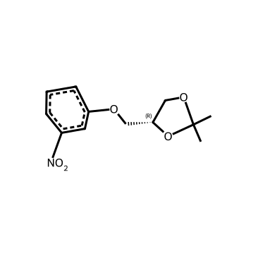 CC1(C)OC[C@@H](COc2cccc([N+](=O)[O-])c2)O1